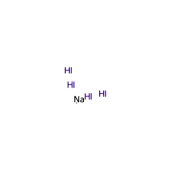 I.I.I.I.[Na]